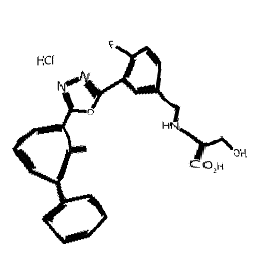 Cc1c(-c2ccccc2)cccc1-c1nnc(-c2cc(CNC(CO)C(=O)O)ccc2F)o1.Cl